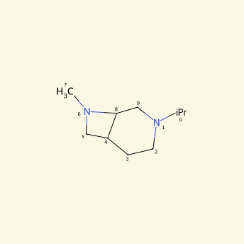 CC(C)N1CCC2CN(C)C2C1